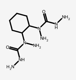 NNC(=O)N(N)C1CCCCC1N(N)C(=O)NN